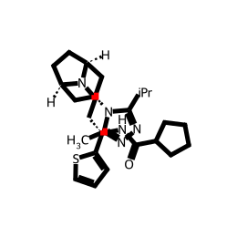 Cc1nnc(C(C)C)n1[C@@H]1C[C@H]2CC[C@@H](C1)N2CC[C@H](NC(=O)C1CCCC1)c1cccs1